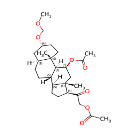 COCO[C@@H]1CC[C@@]2(C)[C@@H](CC[C@@H]3[C@@H]2[C@@H](OC(C)=O)C[C@]2(C)[C@@H](C(=O)COC(C)=O)CC[C@@H]32)C1